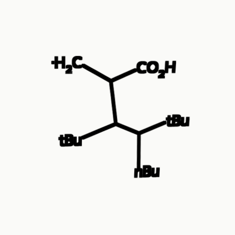 [CH2]C(C(=O)O)C(C(CCCC)C(C)(C)C)C(C)(C)C